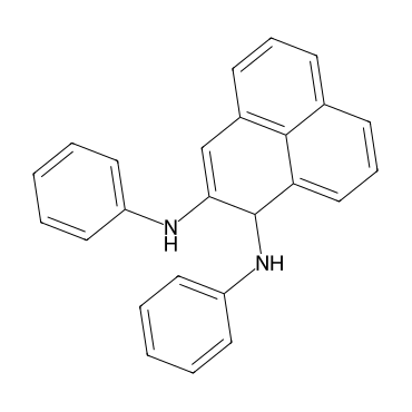 C1=C(Nc2ccccc2)C(Nc2ccccc2)c2cccc3cccc1c23